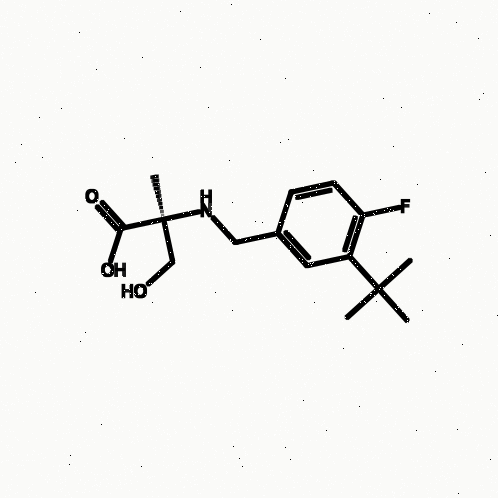 CC(C)(C)c1cc(CN[C@@](C)(CO)C(=O)O)ccc1F